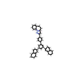 c1ccc2cc(-c3cc(-c4ccc(-c5cc6ccc7ccccc7n6n5)cc4)cc(-c4ccc5ccccc5c4)c3)ccc2c1